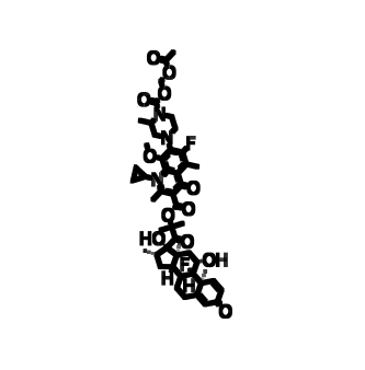 COc1c(N2CCN(C(=O)OCOC(C)=O)C(C)C2)c(F)c(C)c2c(=O)c(C(=O)OC(C)(C)C(=O)[C@@]3(O)[C@@H](C)C[C@H]4[C@@H]5CCC6=CC(=O)C=C[C@]6(C)[C@@]5(F)[C@@H](O)C[C@@]43C)c(C)n(C3CC3)c12